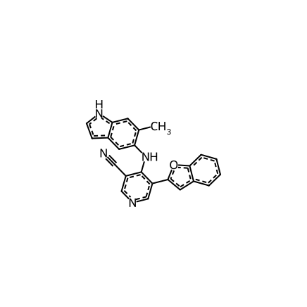 Cc1cc2[nH]ccc2cc1Nc1c(C#N)cncc1-c1cc2ccccc2o1